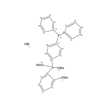 Br.COc1ccccc1C(OC)(OC)c1ccc(P(c2ccccc2)c2ccccc2)cc1